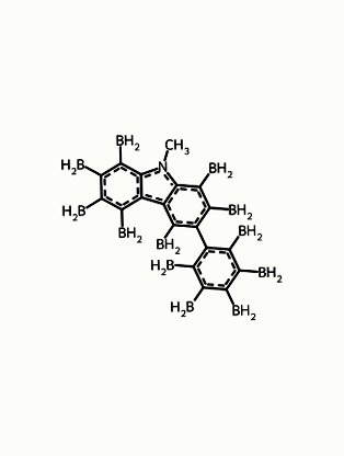 Bc1c(B)c(B)c(-c2c(B)c(B)c3c(c2B)c2c(B)c(B)c(B)c(B)c2n3C)c(B)c1B